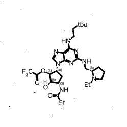 CCC(=O)N[C@H]1C[C@@H](n2cnc3c(NCCC(C)(C)C)nc(NC[C@H]4CCCN4CC)nc32)[C@H](OC(=O)C(F)(F)F)[C@@H]1O